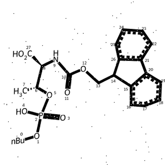 CCCCOP(=O)(O)O[C@H](C)[C@H](NC(=O)OCC1c2ccccc2-c2ccccc21)C(=O)O